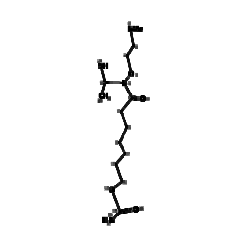 CNCCON(C(=O)CCCCCCOC(N)=O)C(C)O